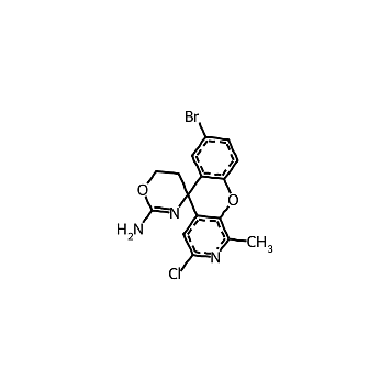 Cc1nc(Cl)cc2c1Oc1ccc(Br)cc1C21CCOC(N)=N1